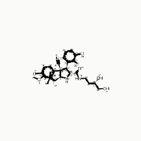 COC(=O)C(C)(C)C[C@@H]1N[C@@H](C(=O)NCC[C@H](O)CO)[C@H](c2cccc(Cl)c2F)[C@@]1(C#N)c1ccc(Cl)cc1F